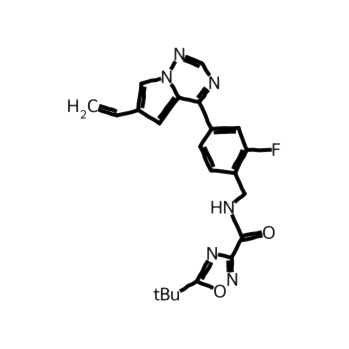 C=Cc1cc2c(-c3ccc(CNC(=O)c4noc(C(C)(C)C)n4)c(F)c3)ncnn2c1